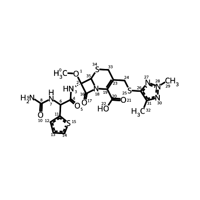 CO[C@]1(NC(=O)C(NC(N)=O)c2cccs2)C(=O)N2C(C(=O)O)=C(CSc3nn(C)nc3C)CSC21